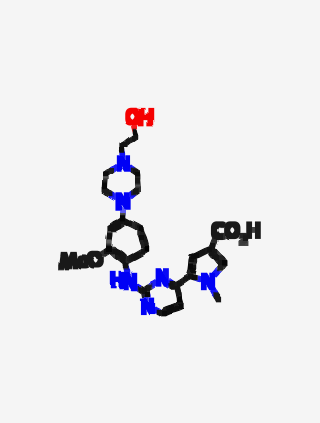 COc1cc(N2CCN(CCO)CC2)ccc1Nc1nccc(-c2cc(C(=O)O)cn2C)n1